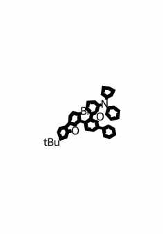 CC(C)(C)c1ccc2c(c1)oc1c(-c3ccc(-c4ccccc4)c4oc5c(N(c6ccccc6)c6ccccc6)cccc5c34)c(Br)ccc12